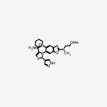 COCCN(C)c1nc2cc(N3CCCCC3)c(N3C(C(N)=O)=CSC3c3cn[nH]c3)cc2o1